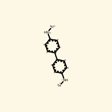 [2H]Nc1ccc(-c2ccc(N[2H])cc2)cc1